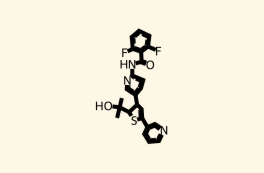 CC(C)(O)C1SC(c2cccnc2)=CC1c1ccc(NC(=O)c2c(F)cccc2F)nc1